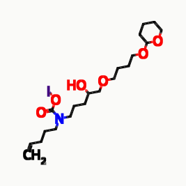 C=CCCCN(CCCC(O)COCCCCOC1CCCCO1)C(=O)OI